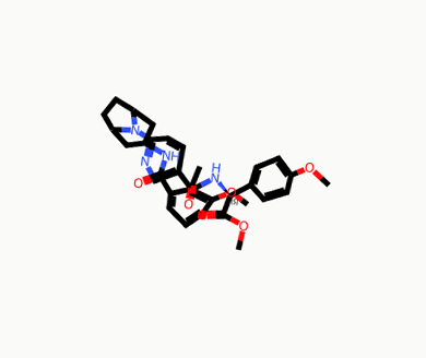 COC(=O)[C@@H](NC(=O)c1ccc(N2C3CCC2CC(NC(=O)c2cccc(OC)c2C)C3)nc1)c1ccc(OC)cc1